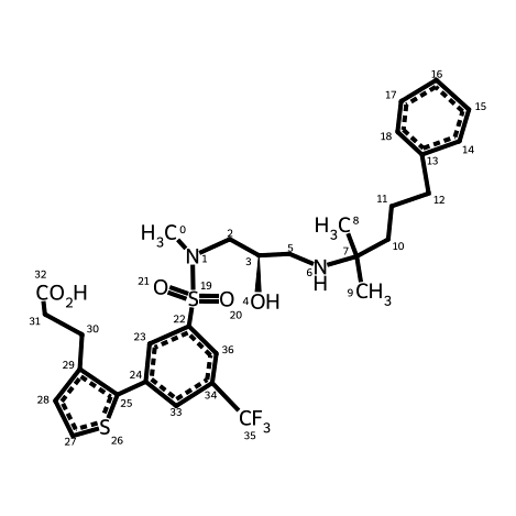 CN(C[C@H](O)CNC(C)(C)CCCc1ccccc1)S(=O)(=O)c1cc(-c2sccc2CCC(=O)O)cc(C(F)(F)F)c1